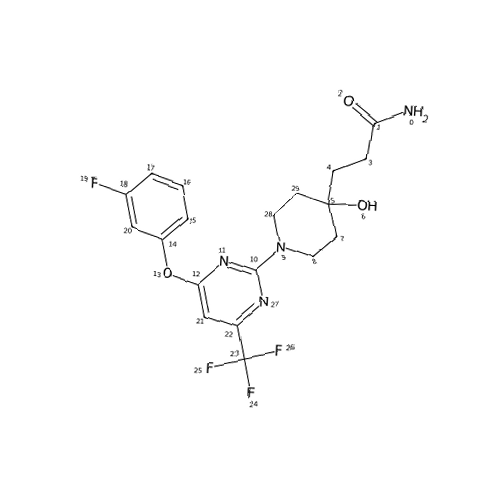 NC(=O)CCC1(O)CCN(c2nc(Oc3cccc(F)c3)cc(C(F)(F)F)n2)CC1